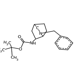 CC(C)(C)OC(=O)NC1CC2CCC1N(Cc1ccccc1)C2